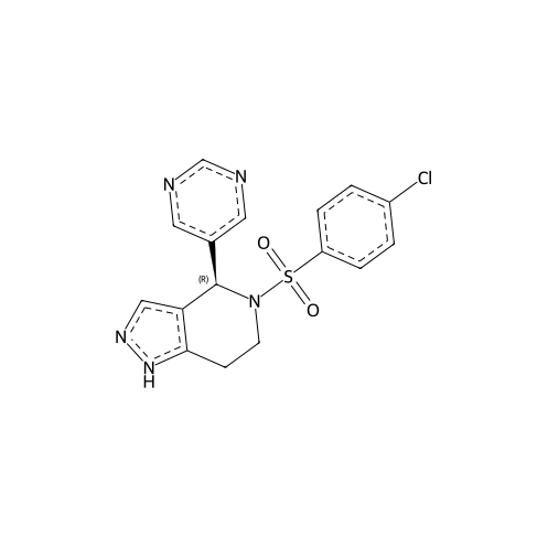 O=S(=O)(c1ccc(Cl)cc1)N1CCc2[nH]ncc2[C@H]1c1cncnc1